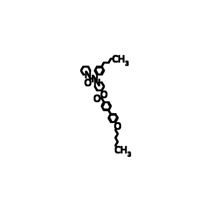 CCCCCCOc1ccc(-c2ccc(C(=O)OC3CCN(N(C(=O)N4CCCCC4)c4ccc(CCCC)cc4)CC3)cc2)cc1